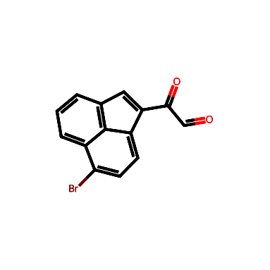 O=CC(=O)C1=Cc2cccc3c(Br)ccc1c23